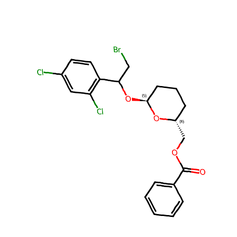 O=C(OC[C@H]1CCC[C@H](OC(CBr)c2ccc(Cl)cc2Cl)O1)c1ccccc1